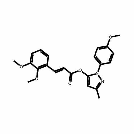 COc1ccc(-n2nc(C)cc2OC(=O)/C=C/c2cccc(OC)c2OC)cc1